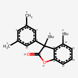 Cc1cc(C)cc(C2(C(C)(C)C)C(=O)Oc3cccc(C(C)(C)C)c32)c1